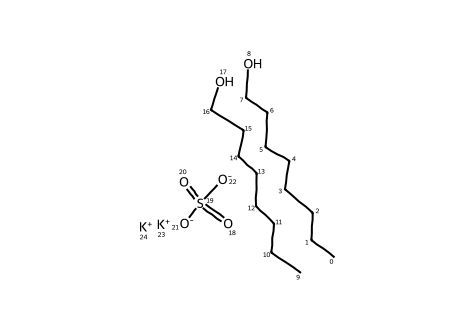 CCCCCCCCO.CCCCCCCCO.O=S(=O)([O-])[O-].[K+].[K+]